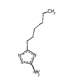 CCCCCCc1nsc(N)n1